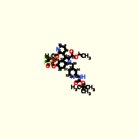 CCOC(=O)c1c(-c2cccnc2OC)c2cc(OS(=O)(=O)C(F)(F)F)ccc2n1Cc1ccnc(NC(=O)OC(C)(C)C)c1